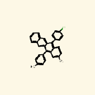 FC(F)(F)c1ccc(-c2c3cc(C(F)(F)F)ccc3c(-c3ccc(Cl)cc3)c3cc4ccccc4cc23)cc1